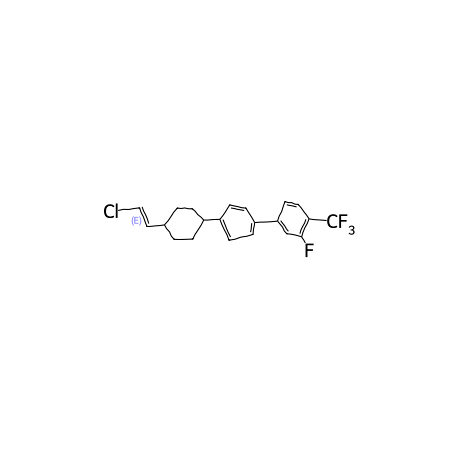 Fc1cc(-c2ccc(C3CCC(/C=C/Cl)CC3)cc2)ccc1C(F)(F)F